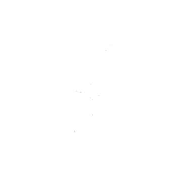 Cc1nc2nc(-c3cccc(-c4ccccc4)c3)nn2c(N2CCC(C)(C)CC2)c1C(OC(C)(C)C)C(=O)O